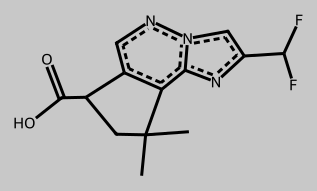 CC1(C)CC(C(=O)O)c2cnn3cc(C(F)F)nc3c21